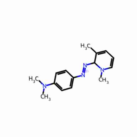 CC1=CC=CN(C)C1/N=N/c1ccc(N(C)C)cc1